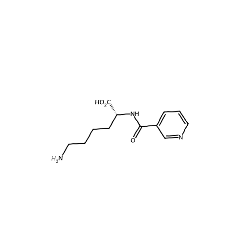 NCCCC[C@@H](NC(=O)c1cccnc1)C(=O)O